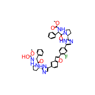 COC(=O)N[C@@H](C(=O)N1CCC[C@H]1c1ncc(-c2ccc(-c3cc4cc(-c5cnc([C@@H]6CCCN6C(=O)[C@H](NC(O)OC)c6ccccc6)[nH]5)ccc4o3)c(F)c2)[nH]1)c1ccccc1